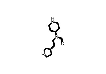 O=CN(CCC1CCOC1)C1CCNCC1